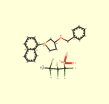 O=S(=O)([O-])C(F)(F)C(F)(F)C(F)(F)C(F)(F)F.c1ccc(COC2CC[S+](c3cccc4ccccc34)C2)cc1